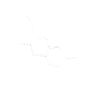 Cc1cc(Br)c2cc(Cl)c(C#N)nc2c1